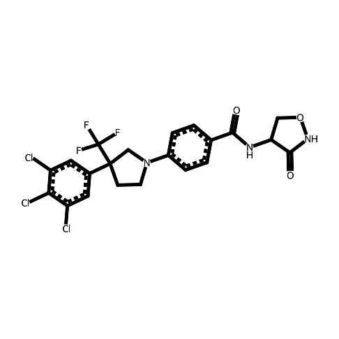 O=C(NC1CONC1=O)c1ccc(N2CCC(c3cc(Cl)c(Cl)c(Cl)c3)(C(F)(F)F)C2)cc1